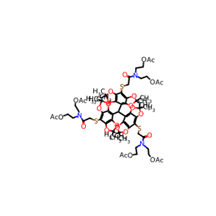 CC(=O)OCCN(CCOC(C)=O)C(=O)CSc1c2c(c([C](c3c4c(c(SCC(=O)N(CCOC(C)=O)CCOC(C)=O)c5c3OC(C)(C)O5)OC(C)(C)O4)c3c4c(c(SCC(=O)N(CCOC(C)=O)CCOC(C)=O)c5c3OC(C)(C)O5)OC(C)(C)O4)c3c1OC(C)(C)O3)OC(C)(C)O2